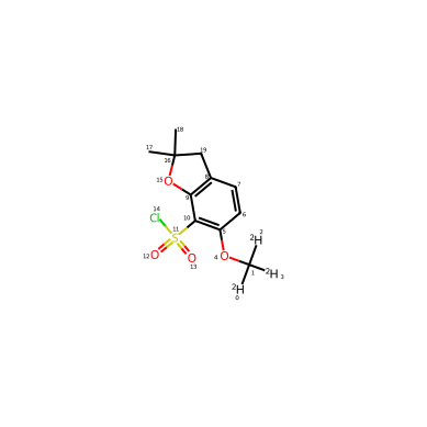 [2H]C([2H])([2H])Oc1ccc2c(c1S(=O)(=O)Cl)OC(C)(C)C2